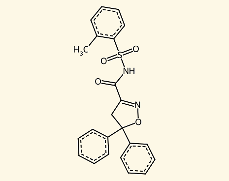 Cc1ccccc1S(=O)(=O)NC(=O)C1=NOC(c2ccccc2)(c2ccccc2)C1